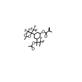 C=C(C)C(=O)OC1CC(C(C)(OC(C)=O)C(F)(F)F)CC(C(OC(C)=O)(C(F)(F)F)C(F)(F)F)C1